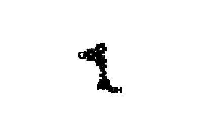 O=S(=O)(CCCCCCN1CCN(C(c2ccccc2)c2ccc(Cl)cc2)CC1)NCCO